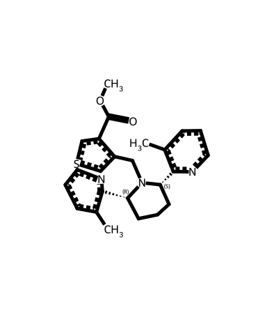 COC(=O)c1cscc1CN1[C@@H](c2ncccc2C)CCC[C@H]1c1ncccc1C